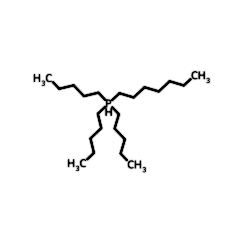 CCCCCCC[PH](CCCCC)(CCCCC)CCCCC